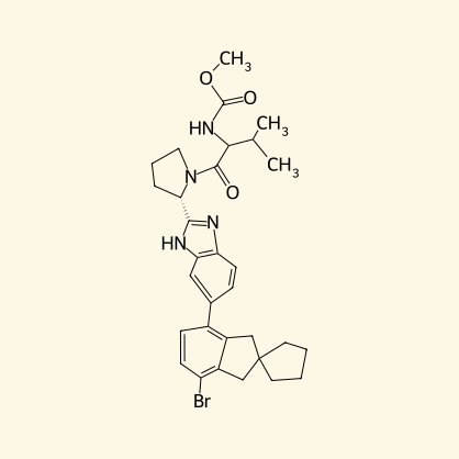 COC(=O)NC(C(=O)N1CCC[C@H]1c1nc2ccc(-c3ccc(Br)c4c3CC3(CCCC3)C4)cc2[nH]1)C(C)C